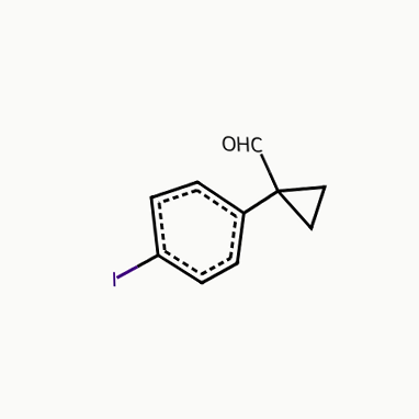 O=CC1(c2ccc(I)cc2)CC1